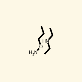 CCCON.CCNCC